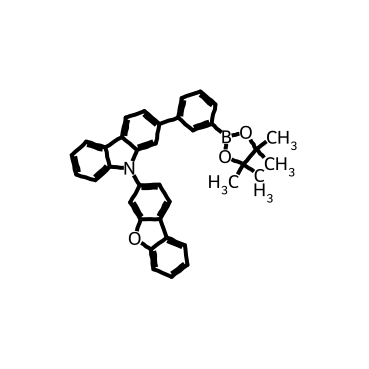 CC1(C)OB(c2cccc(-c3ccc4c5ccccc5n(-c5ccc6c(c5)oc5ccccc56)c4c3)c2)OC1(C)C